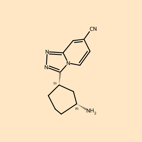 N#Cc1ccn2c([C@H]3CCC[C@@H](N)C3)nnc2c1